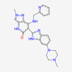 CN1CCN(c2ccc3nc(-c4c(NCc5ccccn5)c5nn(C)cc5[nH]c4=O)[nH]c3c2)CC1